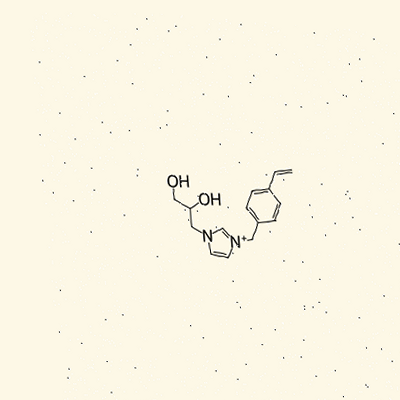 C=Cc1ccc(C[n+]2ccn(CC(O)CO)c2)cc1